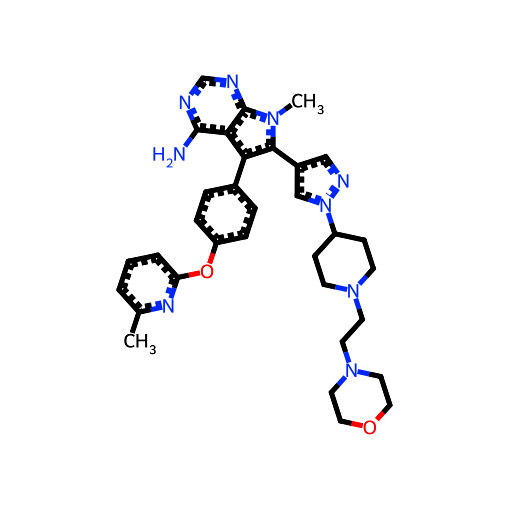 Cc1cccc(Oc2ccc(-c3c(-c4cnn(C5CCN(CCN6CCOCC6)CC5)c4)n(C)c4ncnc(N)c34)cc2)n1